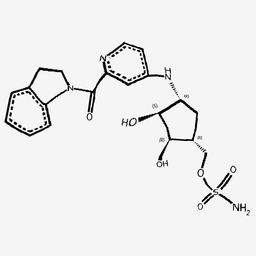 NS(=O)(=O)OC[C@H]1C[C@@H](Nc2ccnc(C(=O)N3CCc4ccccc43)c2)[C@H](O)[C@@H]1O